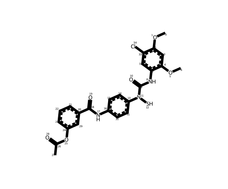 COc1cc(OC)c(NC(=O)N(S)c2ccc(NC(=O)c3cccc(OC(C)=O)c3)cc2)cc1Cl